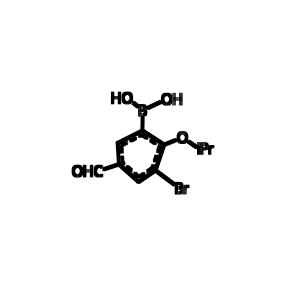 CC(C)Oc1c(Br)cc(C=O)cc1B(O)O